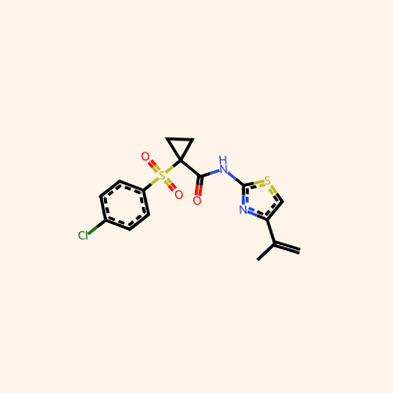 C=C(C)c1csc(NC(=O)C2(S(=O)(=O)c3ccc(Cl)cc3)CC2)n1